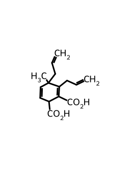 C=CCC1=C(C(=O)O)C(C(=O)O)C=CC1(C)CC=C